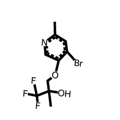 Cc1cc(Br)c(OCC(C)(O)C(F)(F)F)cn1